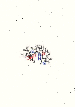 C=C/C(NC(=O)c1ccnc2c1CCC2)=C1/C(=O)N(C(C2CC2)C(C)(C)O)C/C1=C/C